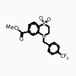 COC(=O)c1ccc2c(c1)N(Cc1ccc(C(F)(F)F)cc1)CCS2(=O)=O